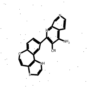 N#Cc1c(-c2ccc3occc4scc[nH]c=4c3c2)nc2cnccc2c1N